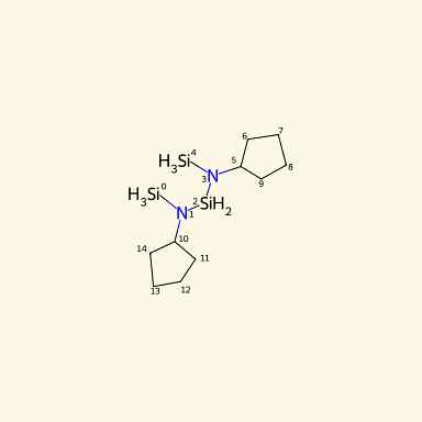 [SiH3]N([SiH2]N([SiH3])C1CCCC1)C1CCCC1